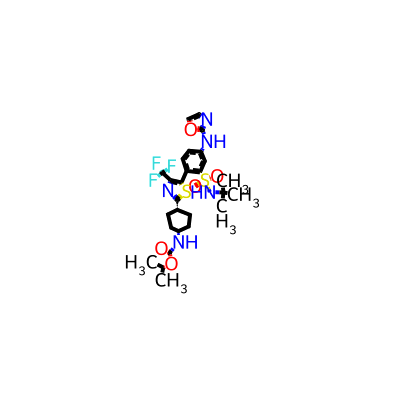 CC(C)OC(=O)N[C@H]1CC[C@H](c2nc(C(F)(F)F)c(-c3ccc(Nc4ncco4)cc3S(=O)(=O)NC(C)(C)C)s2)CC1